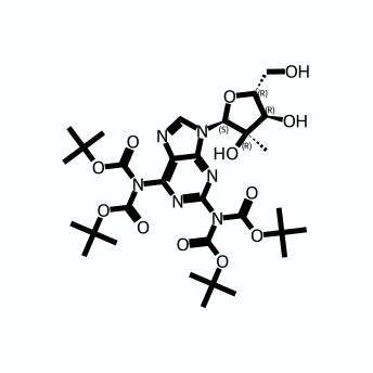 CC(C)(C)OC(=O)N(C(=O)OC(C)(C)C)c1nc(N(C(=O)OC(C)(C)C)C(=O)OC(C)(C)C)c2ncn([C@H]3O[C@H](CO)[C@@H](O)[C@@]3(C)O)c2n1